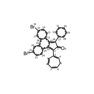 O=C1C(C2=CCC=CC=C2)=c2c(c3ccc(Br)cc3c3cc(Br)ccc23)=C1c1ccccc1